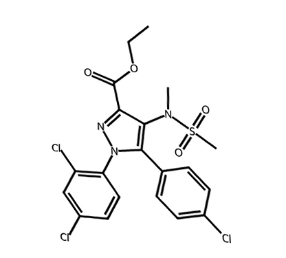 CCOC(=O)c1nn(-c2ccc(Cl)cc2Cl)c(-c2ccc(Cl)cc2)c1N(C)S(C)(=O)=O